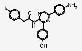 Nc1ccc(-c2cnc(NC(=O)Cc3ccc(I)cc3)c(-c3ccc(O)cc3)n2)cc1